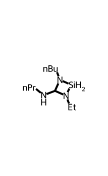 CCCCN1[SiH2]N(CC)C1NCCC